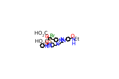 CCNC(=O)c1ccc(-n2cc(CN(CC3CCN(C(=O)Nc4ccccc4)CC3)c3cccc(-c4sc(C(=O)O)c(OCC(=O)O)c4Br)c3)nn2)cc1